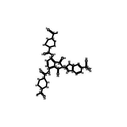 CC(=O)C1CCC(C(=O)Oc2ccc(OC(=O)C3CCC(C(C)=O)CC3)c3c2C(=O)N(c2nc4ccc([N+](=O)[O-])cc4s2)C3=O)CC1